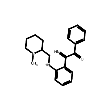 CN1CCCCC1CNc1ccccc1C(=N)C(=O)c1ccccc1